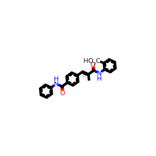 C/C(=C\c1ccc(C(=O)Nc2ccccc2)cc1)C(=O)Nc1ccccc1C(=O)O